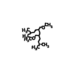 COCC(CCC(C)C)CC(CCC(C)C)COC